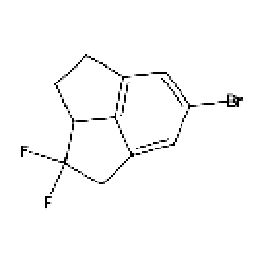 FC1(F)Cc2cc(Br)cc3c2C1CC3